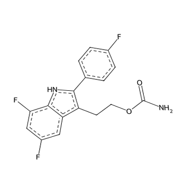 NC(=O)OCCc1c(-c2ccc(F)cc2)[nH]c2c(F)cc(F)cc12